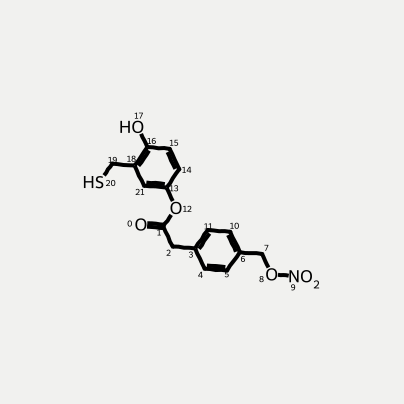 O=C(Cc1ccc(CO[N+](=O)[O-])cc1)Oc1ccc(O)c(CS)c1